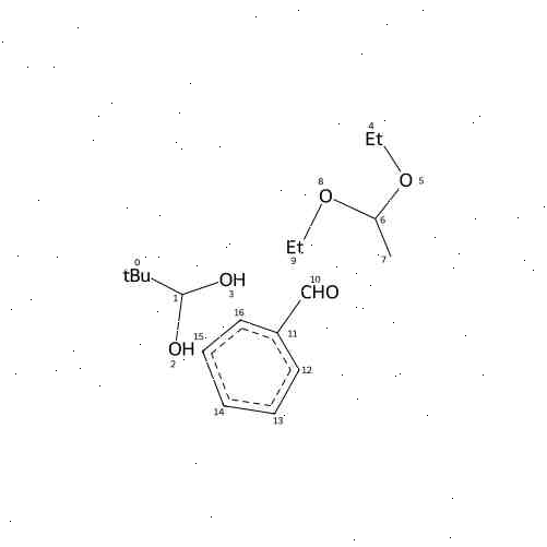 CC(C)(C)C(O)O.CCOC(C)OCC.O=Cc1ccccc1